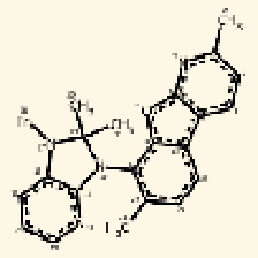 Cc1ccc2c(n1)oc1c(N3c4ncccc4N(C(C)C)C3(C)C)c(C)ccc12